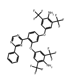 Nc1c(C(F)(F)F)cc(Oc2ccc(-c3ncnc(-c4ccccc4)n3)c(Oc3cc(C(F)(F)F)c(N)c(C(F)(F)F)c3)c2)cc1C(F)(F)F